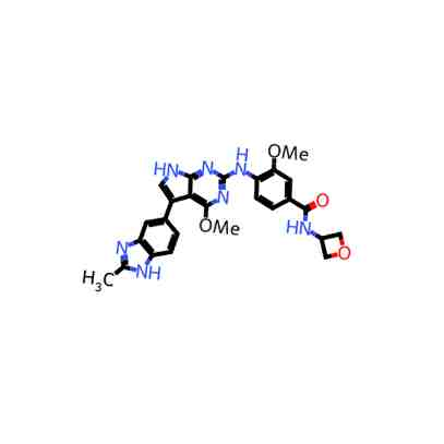 COc1cc(C(=O)NC2COC2)ccc1Nc1nc(OC)c2c(-c3ccc4[nH]c(C)nc4c3)c[nH]c2n1